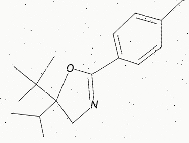 CC(C)C1(C(C)(C)C)CN=C(c2ccc(F)cc2)O1